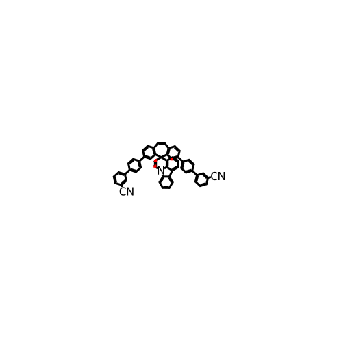 N#Cc1cccc(-c2ccc(-c3ccc4c(c3)C3(c5cc(-c6ccc(-c7cccc(C#N)c7)cc6)ccc5C=C4)c4ccccc4-n4c5ccccc5c5cccc3c54)cc2)c1